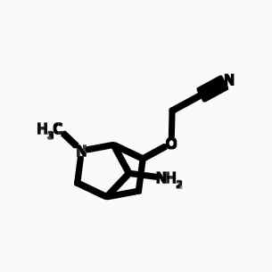 CN1CC2CC(OCC#N)C1C2N